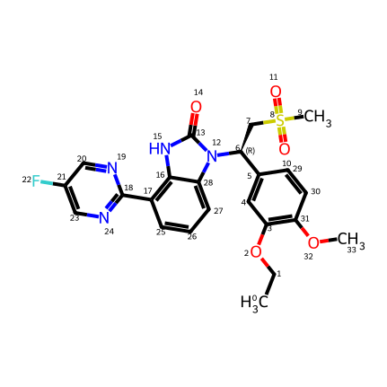 CCOc1cc([C@H](CS(C)(=O)=O)n2c(=O)[nH]c3c(-c4ncc(F)cn4)cccc32)ccc1OC